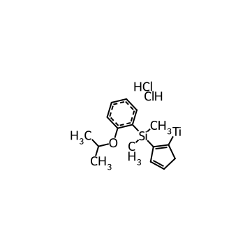 CC(C)Oc1ccccc1[Si](C)(C)C1=[C]([Ti])CC=C1.Cl.Cl